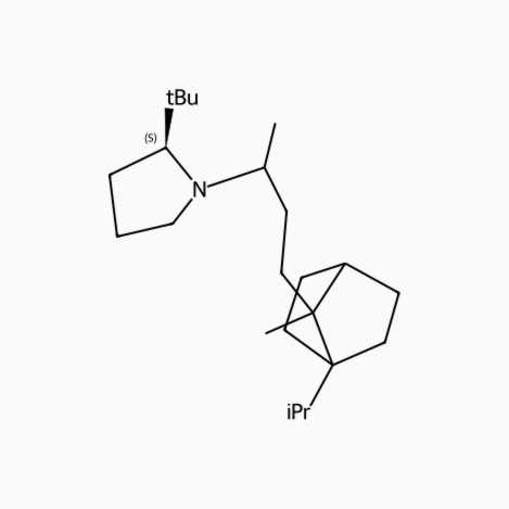 CC(CCC1(C)C2CCC1(C(C)C)CC2)N1CCC[C@H]1C(C)(C)C